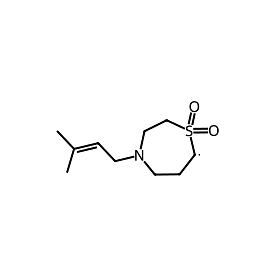 CC(C)=CCN1CC[CH]S(=O)(=O)CC1